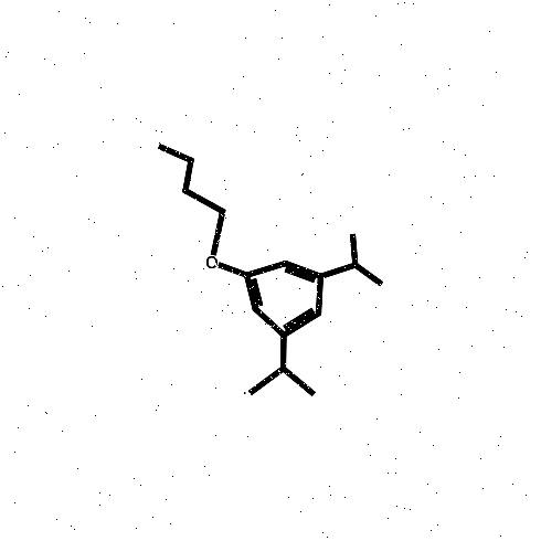 [CH2]C(C)c1cc(OCCCC)cc(C(C)C)c1